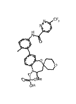 COP(=O)(O)ON1C(=O)CC2(CCOCC2)Oc2cc(-c3cc(NC(=O)c4ccc(C(F)(F)F)nn4)ccc3C)ccc21